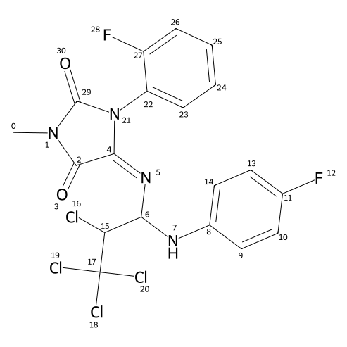 CN1C(=O)C(=NC(Nc2ccc(F)cc2)C(Cl)C(Cl)(Cl)Cl)N(c2ccccc2F)C1=O